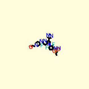 CCCS(=O)(=O)Nc1ccc(F)c(-n2cc(-c3cncnc3)c3nc(N(C)C4CCN(CCOC)CC4)c(F)cc32)c1F